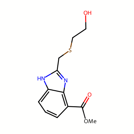 COC(=O)c1cccc2[nH]c(CSCCO)nc12